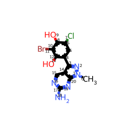 Cn1nc(-c2cc(Cl)c(O)c(Br)c2O)c2cnc(N)nc21